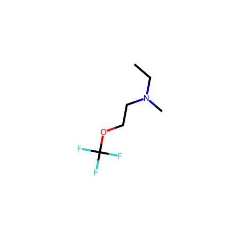 CCN(C)CCOC(F)(F)F